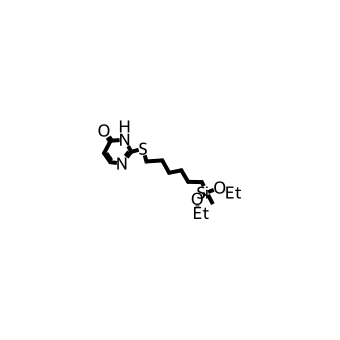 CCO[Si](C)(CCCCCCSc1nccc(=O)[nH]1)OCC